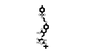 Cc1ccc(S(=O)(=O)OCCOc2ccc(CC(CC[C@H](NC(=O)OC(C)(C)C)C(=O)O)C(=O)O)cc2)cc1